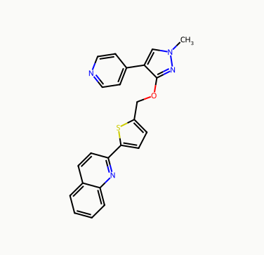 Cn1cc(-c2ccncc2)c(OCc2ccc(-c3ccc4ccccc4n3)s2)n1